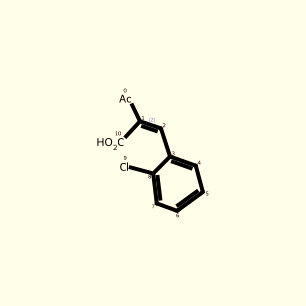 CC(=O)/C(=C/c1ccccc1Cl)C(=O)O